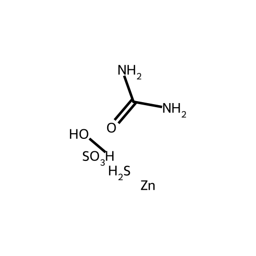 NC(N)=O.O=S(=O)(O)O.S.[Zn]